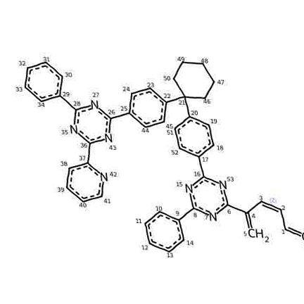 C=C/C=C\C(=C)c1nc(-c2ccccc2)nc(-c2ccc(C3(c4ccc(-c5nc(-c6ccccc6)nc(-c6ccccn6)n5)cc4)CCCCC3)cc2)n1